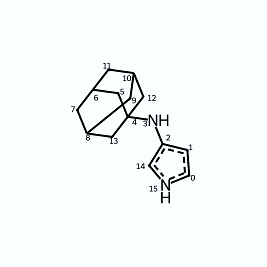 c1cc(NC23CC4CC(CC(C4)C2)C3)c[nH]1